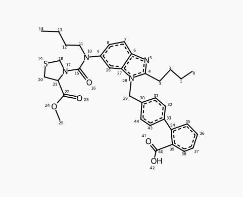 CCCCc1nc2ccc(N(CCCC)C(=O)N3CSCC3C(=O)OC)cc2n1Cc1ccc(-c2ccccc2C(=O)O)cc1